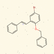 Brc1ccc(OCc2ccccc2)c(/C=C/c2ccccc2)c1